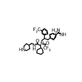 N=C(N)c1ccc(CC(CN(C(=O)C(F)(F)F)C(C(=O)NCC2CCNCC2)C2CCCCC2)c2cccc(C(F)(F)F)c2)cc1